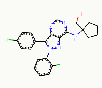 OCC1(Nc2ncnc3c(-c4ccc(Cl)cc4)n(-c4ccccc4Cl)nc23)CCCC1